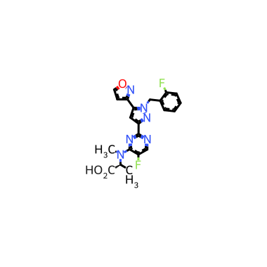 C[C@@H](C(=O)O)N(C)c1nc(-c2cc(-c3ccon3)n(Cc3ccccc3F)n2)ncc1F